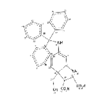 NC1C=C(NC(c2ccccc2)(c2ccccc2)c2ccccc2)C=CC1(CO)C(CC(=O)O)C(=O)O